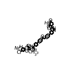 CC1(C)[C@H](NC(=O)c2ccc(N3CCN(C(=O)CN4CCN(c5ccc6nnn(C7CCC(=O)NC7=O)c(=O)c6c5)CC4)CC3)cc2)C(C)(C)[C@H]1Oc1ccc(C#N)c(Cl)c1